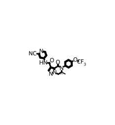 C[C@H]1Cn2ncc(C(=O)Nc3ccnc(C#N)c3)c2C(=O)N1c1ccc(OC(F)(F)F)cc1